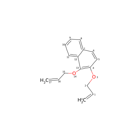 C=CCOc1ccc2ccccc2c1OCC=C